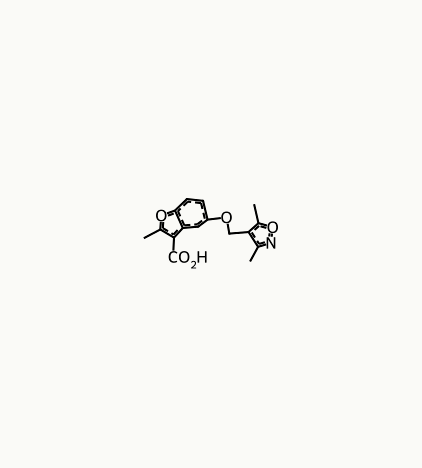 Cc1noc(C)c1COc1ccc2oc(C)c(C(=O)O)c2c1